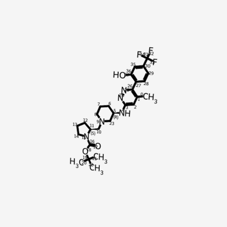 Cc1cc(N[C@@H]2CCCN(C[C@@H]3CCCN3C(=O)OC(C)(C)C)C2)nnc1-c1ccc(C(F)(F)F)cc1O